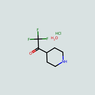 Cl.O.O=C(C1CCNCC1)C(F)(F)F